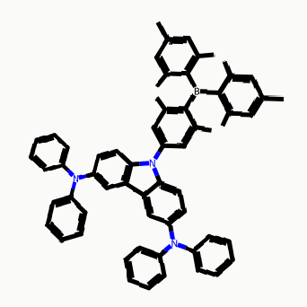 Cc1cc(C)c(B(c2c(C)cc(C)cc2C)c2c(C)cc(-n3c4ccc(N(c5ccccc5)c5ccccc5)cc4c4cc(N(c5ccccc5)c5ccccc5)ccc43)cc2C)c(C)c1